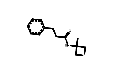 CC1(NC(=O)[CH]Cc2ccccc2)CSC1